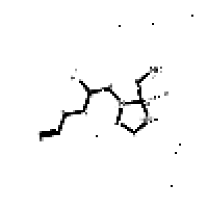 C=CCCC(CC)CN1CCN[C@]1(I)CN=O